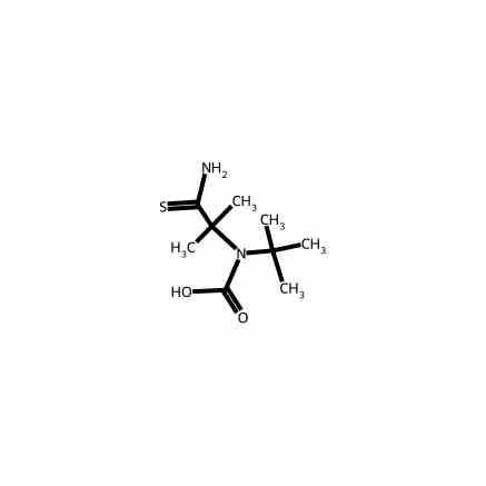 CC(C)(C)N(C(=O)O)C(C)(C)C(N)=S